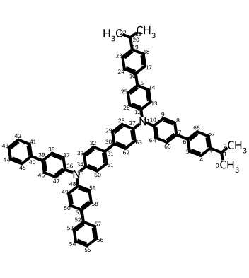 CC(C)c1ccc(-c2ccc(N(c3ccc(-c4ccc(C(C)C)cc4)cc3)c3ccc(-c4ccc(N(c5ccc(-c6ccccc6)cc5)c5ccc(-c6ccccc6)cc5)cc4)cc3)cc2)cc1